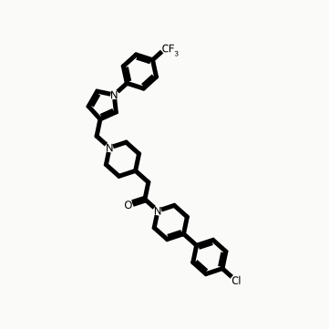 O=C(CC1CCN(Cc2ccn(-c3ccc(C(F)(F)F)cc3)c2)CC1)N1CC=C(c2ccc(Cl)cc2)CC1